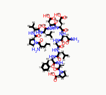 CC[C@H](C)[C@H](N)C(=O)N1CCC[C@H]1C(=O)N[C@H](C(=O)N[C@@H](CC(C)C)C(=O)N[C@@H](CC(=O)O)C(=O)N[C@@H](CCC(=O)O)C(=O)N[C@@H](CC(N)=O)C(=O)NCC(=O)N[C@@H](CC(C)C)C(=O)N[C@@H](Cc1ccccc1)C(=O)N[C@@H](C)C(=O)N1CCC[C@H]1C(=O)O)C(C)C